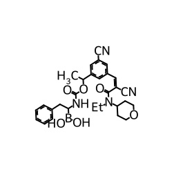 CCN(C(=O)C(C#N)=Cc1cc(C#N)cc(C(C)OC(=O)NC(Cc2ccccc2)B(O)O)c1)C1CCOCC1